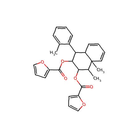 Cc1ccccc1C1C(OC(=O)c2ccco2)C(OC(=O)c2ccco2)C(C)C2(C)C=CC=CC12